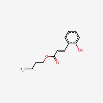 CCCCOC(=O)C=Cc1ccccc1O